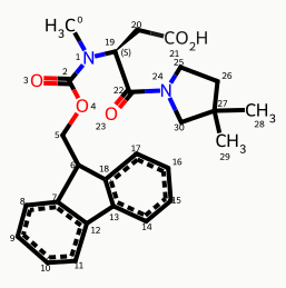 CN(C(=O)OCC1c2ccccc2-c2ccccc21)[C@@H](CC(=O)O)C(=O)N1CCC(C)(C)C1